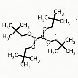 CC(C)(C)COB(OCC(C)(C)C)B(OCC(C)(C)C)OCC(C)(C)C